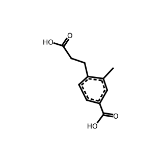 Cc1cc(C(=O)O)ccc1CCC(=O)O